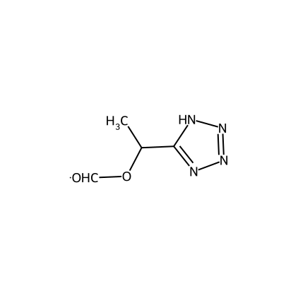 CC(O[C]=O)c1nnn[nH]1